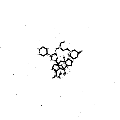 CCN(CCN1CCCC(C)C1)C[C@@H]1O[C@@H](C23C[C@@H]4[C@H](C)CC[C@H]4C4(C=O)CC2C=C(C(C)C)[C@]43C(=O)O)C[C@H]1C1CCCCC1